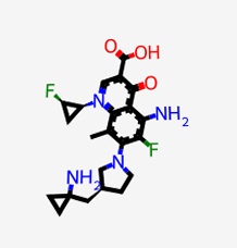 Cc1c(N2CC[C@@H](CC3(N)CC3)C2)c(F)c(N)c2c(=O)c(C(=O)O)cn([C@H]3C[C@H]3F)c12